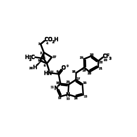 C[C@H]1C2(CC(=O)O)CC1(NC(=O)c1ncn3cccc(Cc4ccc(C(F)(F)F)cc4)c13)C2